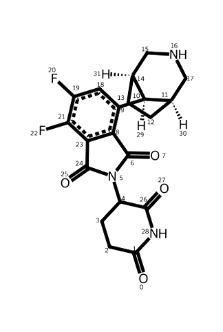 O=C1CCC(N2C(=O)c3c([C@@H]4[C@@H]5CC[C@H]4CNC5)cc(F)c(F)c3C2=O)C(=O)N1